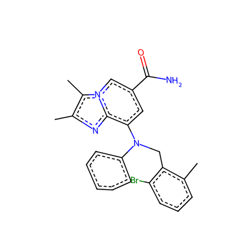 Cc1cccc(Br)c1CN(c1ccccc1)c1cc(C(N)=O)cn2c(C)c(C)nc12